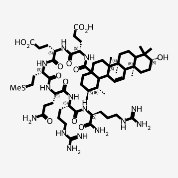 CSCC[C@H](NC(=O)[C@H](CCC(=O)O)NC(=O)[C@H](CCC(=O)O)NC(=O)C12CC[C@H](C)[C@@H](C)C1C1C=CC3[C@]4(C)CC[C@@H](O)C(C)(C)C4CC[C@]3(C)[C@@]1(C)CC2)C(=O)N[C@@H](CCC(N)=O)C(=O)N[C@@H](CCCNC(=N)N)C(=O)N[C@@H](CCCNC(=N)N)C(N)=O